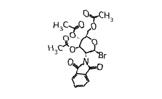 CC(=O)OC[C@H]1O[C@@H](Br)[C@H](N2C(=O)c3ccccc3C2=O)[C@@H](OC(C)=O)[C@@H]1OC(C)=O